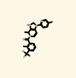 Cc1c(C(=O)N2C=CC3=C(NCN3c3ccc(F)cn3)C2C)cccc1C(F)(F)F